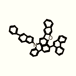 c1ccc(-c2ccc3cc(N(c4ccc5oc6cc7ccccc7cc6c5c4)c4ccccc4-c4ccc(-c5cc6ccccc6c6ccccc56)cc4)ccc3c2)cc1